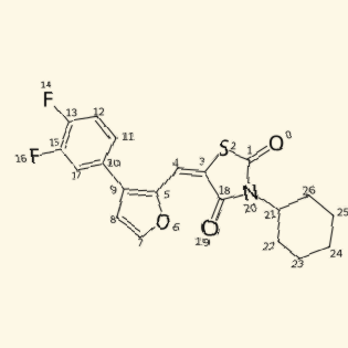 O=C1SC(=Cc2occc2-c2ccc(F)c(F)c2)C(=O)N1C1CCCCC1